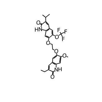 CCc1cc2cc(OCCOc3cc4[nH]c(=O)c(C(C)C)cc4cc3OC(F)(F)F)c(OC)cc2[nH]c1=O